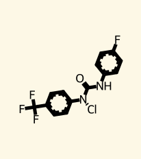 O=C(Nc1ccc(F)cc1)N(Cl)c1ccc(C(F)(F)F)cc1